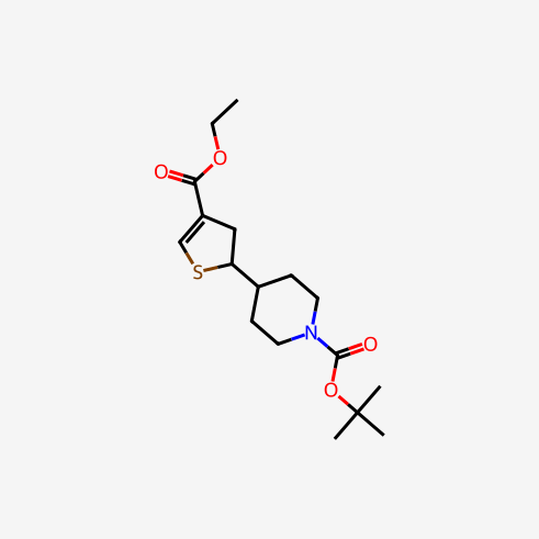 CCOC(=O)C1=CSC(C2CCN(C(=O)OC(C)(C)C)CC2)C1